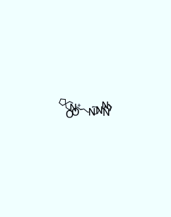 O=C1CC2(CCCC2)CC[N+]1([O-])CCCCN1CCN(c2ncccn2)CC1